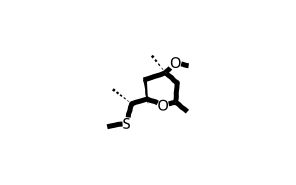 CO[C@@]1(C)CC(C)O[C@@H]([C@@H](C)SC)C1